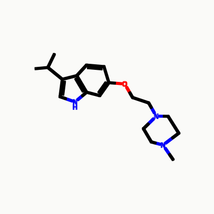 CC(C)c1c[nH]c2cc(OCCN3CCN(C)CC3)ccc12